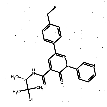 C[C@H](NC(=O)c1cc(-c2ccc(CF)cc2)nn(-c2cccnc2)c1=O)C(C)(C)O